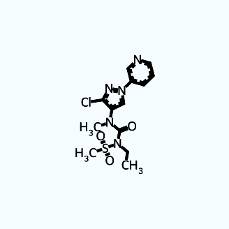 CCN(C(=O)N(C)c1cn(-c2cccnc2)nc1Cl)S(C)(=O)=O